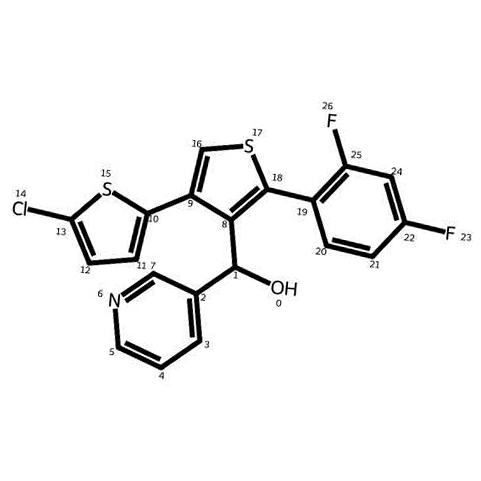 OC(c1cccnc1)c1c(-c2ccc(Cl)s2)csc1-c1ccc(F)cc1F